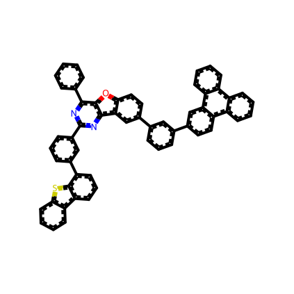 c1ccc(-c2nc(-c3cccc(-c4cccc5c4sc4ccccc45)c3)nc3c2oc2ccc(-c4cccc(-c5ccc6c7ccccc7c7ccccc7c6c5)c4)cc23)cc1